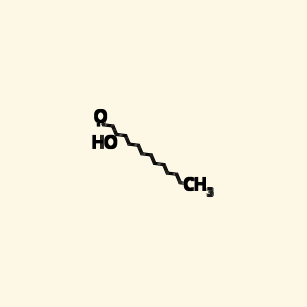 CCCCCCCCCCCC(O)C[C]=O